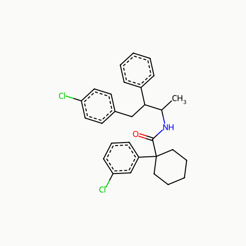 CC(NC(=O)C1(c2cccc(Cl)c2)CCCCC1)C(Cc1ccc(Cl)cc1)c1ccccc1